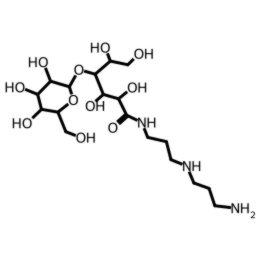 NCCCNCCCNC(=O)C(O)C(O)C(OC1OC(CO)C(O)C(O)C1O)C(O)CO